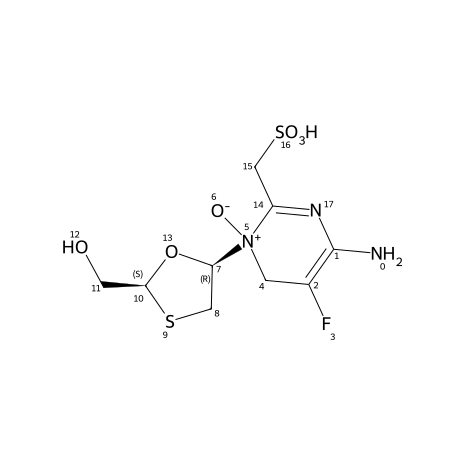 NC1=C(F)C[N+]([O-])([C@H]2CS[C@@H](CO)O2)C(CS(=O)(=O)O)=N1